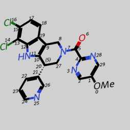 COc1cnc(C(=O)N2Cc3c([nH]c4c(Cl)c(Cl)ccc34)[C@@H](c3cccnc3)C2)nc1